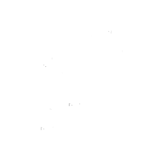 Cc1[nH]c2ccccc2c1COc1ccc(C(=O)NCC(C(=O)NO)N2CCCC(CN(C)C)CC2)cc1